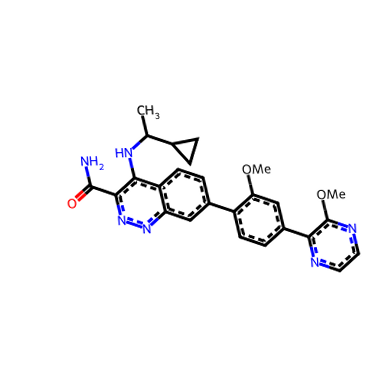 COc1cc(-c2nccnc2OC)ccc1-c1ccc2c(NC(C)C3CC3)c(C(N)=O)nnc2c1